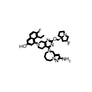 CCc1c(F)ccc2cc(O)cc(N3CCc4c(nc(OC[C@@]56CCCN5C[C@H](F)C6)nc4N4CCCCn5nc(N)cc5C4)C3)c12